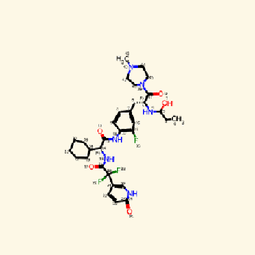 CCC(O)N[C@H](Cc1ccc(NC(=O)[C@@H](NC(=O)C(F)(F)c2ccc(=O)[nH]c2)C2CCCCC2)c(F)c1)C(=O)N1CCN(C)CC1